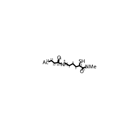 CNC(=O)C(S)CCCCNC(=O)CCC(C)=O